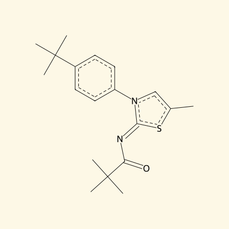 Cc1cn(-c2ccc(C(C)(C)C)cc2)/c(=N/C(=O)C(C)(C)C)s1